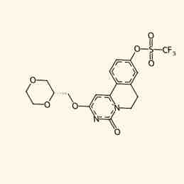 O=c1nc(OC[C@H]2COCCO2)cc2n1CCc1cc(OS(=O)(=O)C(F)(F)F)ccc1-2